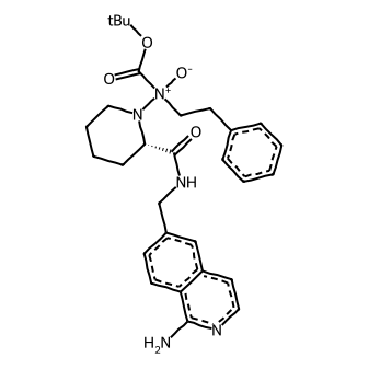 CC(C)(C)OC(=O)[N+]([O-])(CCc1ccccc1)N1CCCC[C@H]1C(=O)NCc1ccc2c(N)nccc2c1